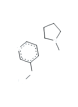 CN1CCC[C@H]1c1cncc(OP)c1